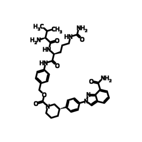 CC(C)[C@H](N)C(=O)N[C@@H](CCCNC(N)=O)C(=O)Nc1ccc(COC(=O)N2CCC[C@@H](c3ccc(-n4cc5cccc(C(N)=O)c5n4)cc3)C2)cc1